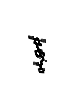 C=C1C(=CC=C2CCC[C@]3(C)[C@@H]([C@H](C)CC[C@@H](O)c4nccs4)CC[C@@H]23)C[C@@H](O)C[C@@H]1O